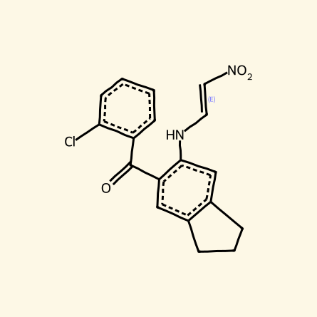 O=C(c1ccccc1Cl)c1cc2c(cc1N/C=C/[N+](=O)[O-])CCC2